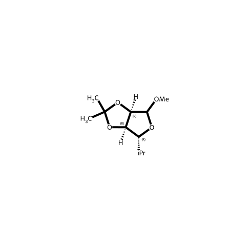 COC1O[C@H](C(C)C)[C@H]2OC(C)(C)O[C@@H]12